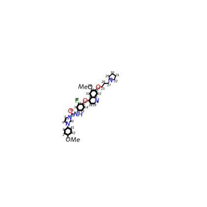 COc1ccc(N2C=CN(C(=O)Nc3ccc(Oc4ccnc5cc(OCCCN6CCCC6)c(OC)cc45)c(F)c3)C2)cc1